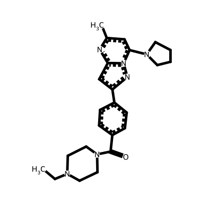 CCN1CCN(C(=O)c2ccc(-c3cc4nc(C)cc(N5CCCC5)n4n3)cc2)CC1